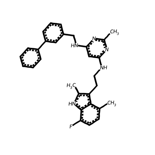 Cc1nc(NCCc2c(C)[nH]c3c(F)ccc(C)c23)cc(NCc2cccc(-c3ccccc3)c2)n1